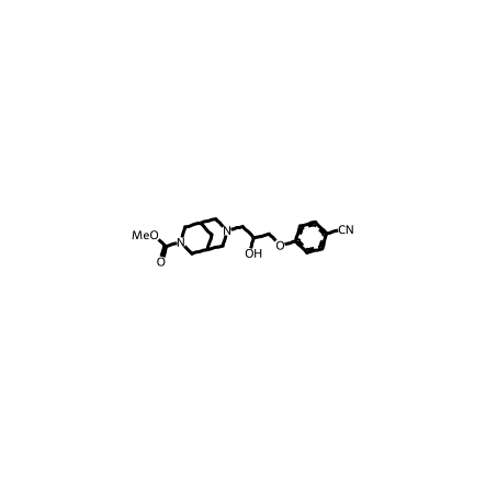 COC(=O)N1CC2CC(CN(CC(O)COc3ccc(C#N)cc3)C2)C1